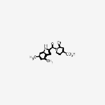 CCC1CC(C(=O)O)CCN1C(=O)c1cc2c(C)cc(C)cc2[nH]1